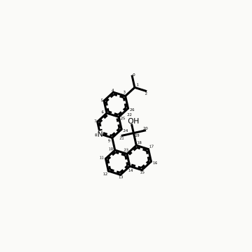 CC(C)c1ccc2cnc(-c3cccc4cccc(C(C)(C)O)c34)cc2c1